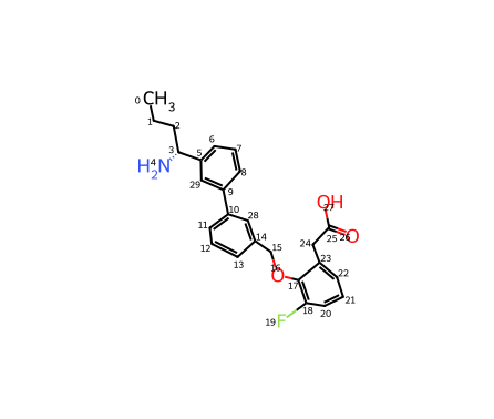 CCC[C@@H](N)c1cccc(-c2cccc(COc3c(F)cccc3CC(=O)O)c2)c1